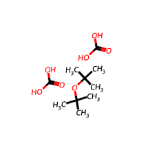 CC(C)(C)OC(C)(C)C.O=C(O)O.O=C(O)O